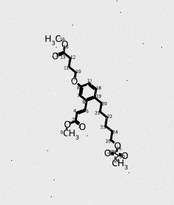 COC(=O)C=Cc1cc(OCCCC(=O)OC)ccc1CCCCCCOS(C)(=O)=O